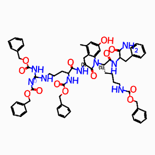 Cc1cc(O)cc2c1C[C@H](NC(=O)C(CCCN/C(=N\C(=O)OCc1ccccc1)NC(=O)OCc1ccccc1)NC(=O)OCc1ccccc1)C(=O)N2[C@@H](CCCCNC(=O)OCc1ccccc1)C(=O)NC(Cc1ccccc1)C(N)=O